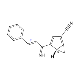 N#CC1=C2C[C@@H]2C(C(=N)/C=C/c2ccccc2)=C1